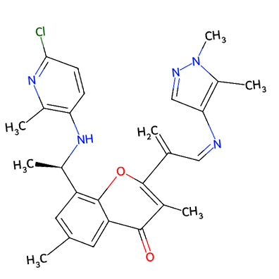 C=C(/C=N\c1cnn(C)c1C)c1oc2c([C@@H](C)Nc3ccc(Cl)nc3C)cc(C)cc2c(=O)c1C